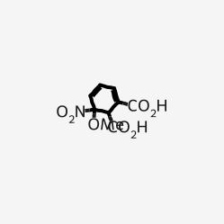 COC1([N+](=O)[O-])C=CC=C(C(=O)O)C1C(=O)O